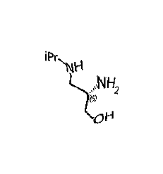 CC(C)NC[C@H](N)CO